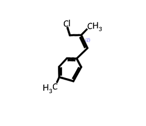 C/C(=C/c1ccc(C)cc1)CCl